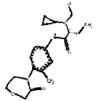 CC(C)(C)CN(C1CC1)[C@H](CN)C(=O)Nc1ccc(N2CCOCC2=O)c(C(F)(F)F)c1